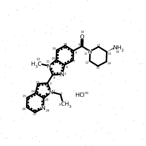 CCn1c(-c2nc3cc(C(=O)N4CCC[C@@H](N)C4)ccc3n2C)cc2cccnc21.Cl